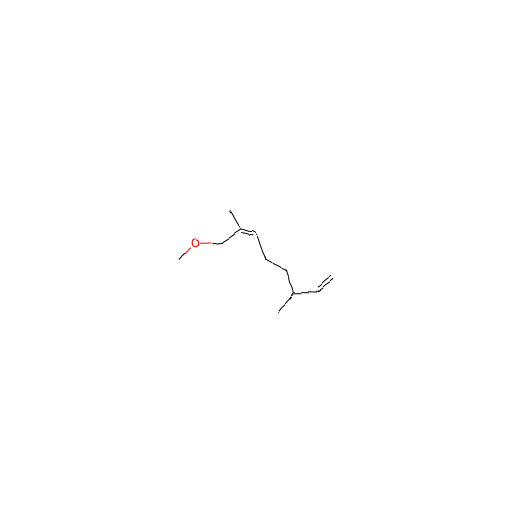 C=CC(C)CCC=C(C)COC